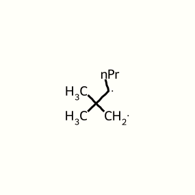 [CH2]C(C)(C)[CH]CCC